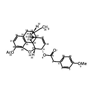 COc1ccc(CC(=O)O[C@H]2C=C[C@H]3[C@H]4Cc5ccc(OC(C)=O)c6c5[C@@]3(CCN4C)[C@H]2O6)cc1